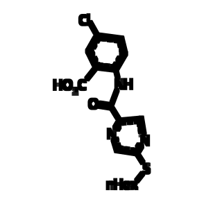 CCCCCCSc1cnc(C(=O)Nc2ccc(Cl)cc2C(=O)O)cn1